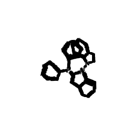 c1ccc(P(c2ccccc2)c2cc3ccccc3n2-n2ccc3ccccc32)cc1